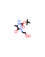 CC(NC(=O)OC(C)(C)C)C(=O)NCCO